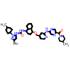 Cc1ccc(-n2nc(C(C)(C)C)cc2NC(=O)Nc2ccc(OCc3ccnc(Nc4cnc(C(=O)N5CCC(C)CC5)cn4)c3)c3ccccc23)cc1